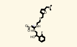 CN(C)Cc1ccc(CSCCN/C(=C/[N+](=O)[O-])NCC(O)c2ccccc2F)o1